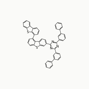 c1ccc(-c2cccc(-c3nc(-c4cccc(-c5ccccc5)c4)nc(-c4ccc5c(c4)sc4cccc(-c6cccc7c6sc6ccccc67)c45)n3)c2)cc1